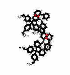 C=Cc1ccc(C2(c3ccc(C=C)cc3)C3=C(c4c(N(c5ccc6c(c5)C(CCCCCCCC)(CCCCCCCC)c5cc(N(c7ccccc7-c7ccccc7)c7cccc8c7-c7ccccc7C8(c7ccc(C=C)cc7)c7ccc(C=C)cc7)ccc5-6)c5ccccc5-c5ccccc5)cccc42)C(C)CC=C3)cc1